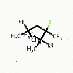 CCC(C)(C)CC(F)(C(F)(F)F)C(C)(C)CC